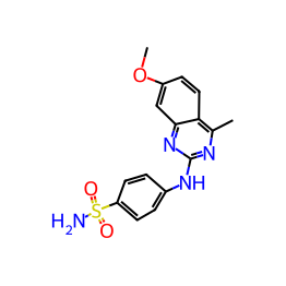 COc1ccc2c(C)nc(Nc3ccc(S(N)(=O)=O)cc3)nc2c1